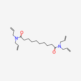 C=CCN(CC=C)C(=O)CCCCCCCCC(=O)N(CC=C)CC=C